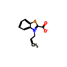 C=CC[n+]1c(C(=O)[O-])sc2ccccc21